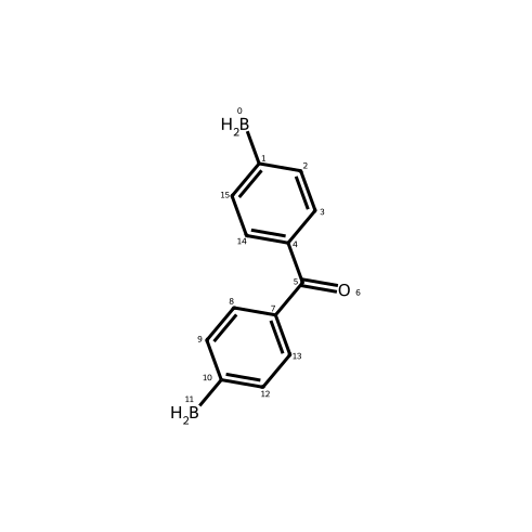 Bc1ccc(C(=O)c2ccc(B)cc2)cc1